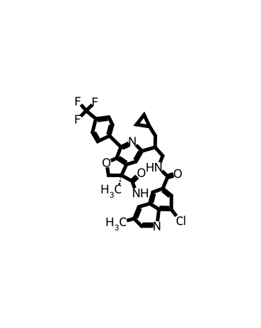 Cc1cnc2c(Cl)cc(C(=O)NCC(CC3CC3)c3cc4c(c(-c5ccc(C(F)(F)F)cc5)n3)OC[C@]4(C)C(N)=O)cc2c1